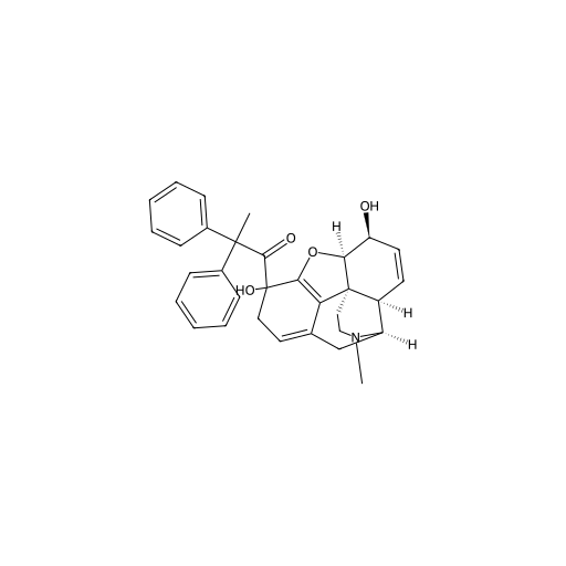 CN1CC[C@]23C4=C5O[C@H]2[C@@H](O)C=C[C@H]3[C@H]1CC4=CCC5(O)C(=O)C(C)(c1ccccc1)c1ccccc1